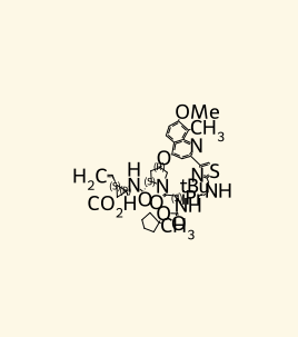 C=C[C@@H]1C[C@]1(NC(=O)[C@@H]1C[C@@H](Oc2cc(-c3csc(NC(C)C)n3)nc3c(C)c(OC)ccc23)CN1C(=O)[C@@H](NC(=O)OC1(C)CCCC1)C(C)(C)C)C(=O)O